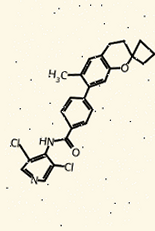 Cc1cc2c(cc1-c1ccc(C(=O)Nc3c(Cl)cncc3Cl)cc1)OC1(CCC1)CC2